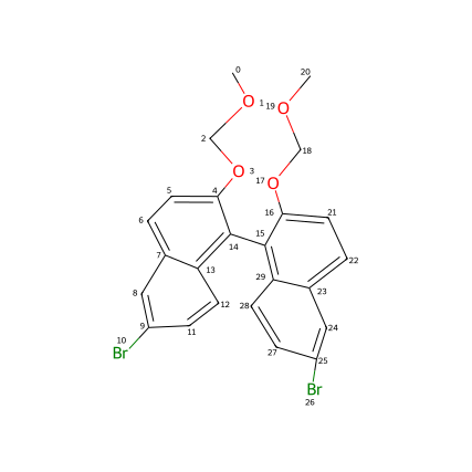 COCOc1ccc2cc(Br)ccc2c1-c1c(OCOC)ccc2cc(Br)ccc12